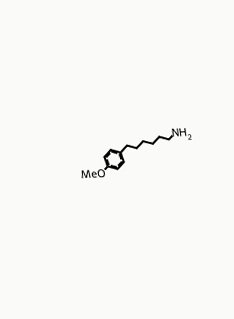 COc1ccc(CCCCCCN)cc1